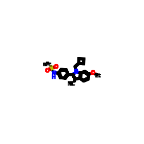 CCCS(=O)(=O)Nc1ccc(C2C(C#N)c3ccc(OCC)cc3N2CC2CCC2)cc1